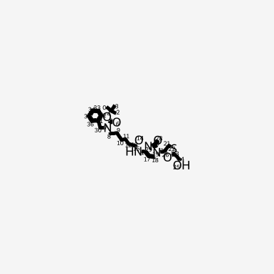 CC(C)(C)OC(=O)N(CCCCCC(=O)Nc1ccn(C2CSC(CO)O2)c(=O)n1)Cc1ccccc1